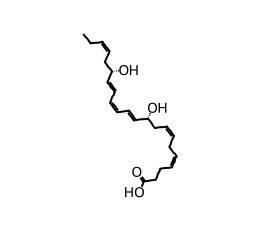 CC/C=C\C[C@H](O)/C=C/C=C\C=C\[C@H](O)C/C=C\C/C=C\CCC(=O)O